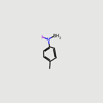 BN(I)c1ccc(C)cc1